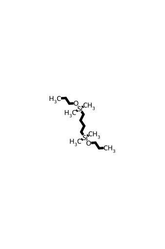 CCCO[Si](C)(C)CCCC[Si](C)(C)OCCC